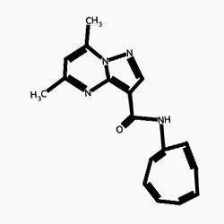 Cc1cc(C)n2ncc(C(=O)NC3=C/C=C\C=C/C=C\3)c2n1